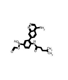 CC(C)CCC(=O)Nc1ccc(B(O)OC=O)cc1-c1ccc2c(N)cnnc2c1